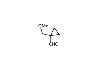 COCC1(C=O)CC1